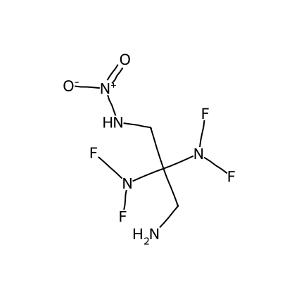 NCC(CN[N+](=O)[O-])(N(F)F)N(F)F